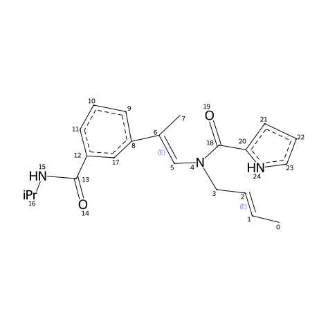 C/C=C/CN(/C=C(\C)c1cccc(C(=O)NC(C)C)c1)C(=O)c1ccc[nH]1